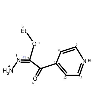 CCO/C(=N/N)C(=O)c1ccncc1